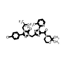 CC1(C)CN(C(=O)c2nc(Cn3nc(-c4ccc(Cl)cc4)n(C[C@H](O)C(F)(F)F)c3=O)nn2-c2ncccc2C(F)(F)F)CCO1